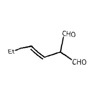 CCC=CC(C=O)C=O